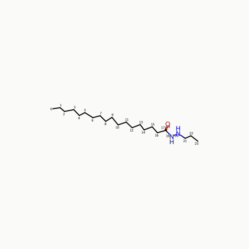 CCCCCCCCCCCCCCCCCC(=O)NNCCC